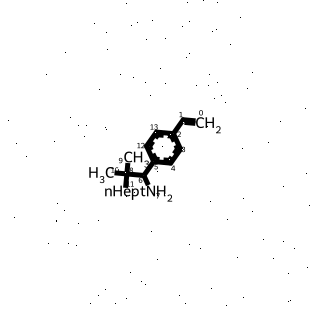 C=Cc1ccc(C(N)C(C)(C)CCCCCCC)cc1